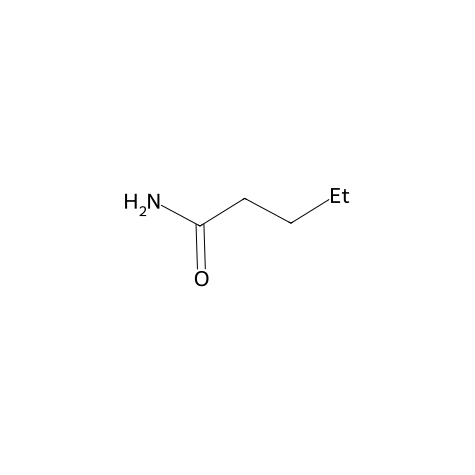 [CH2]CCCC(N)=O